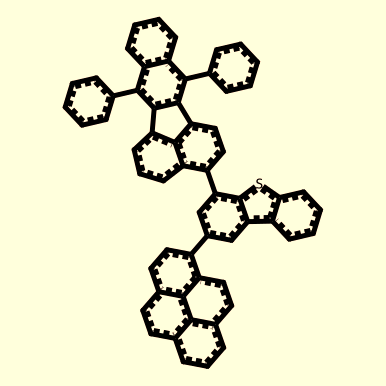 c1ccc(-c2c3c(c(-c4ccccc4)c4ccccc24)-c2ccc(-c4cc(-c5ccc6ccc7cccc8ccc5c6c78)cc5c4sc4ccccc45)c4cccc-3c24)cc1